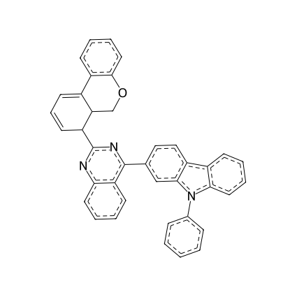 C1=CC(c2nc(-c3ccc4c5ccccc5n(-c5ccccc5)c4c3)c3ccccc3n2)C2COc3ccccc3C2=C1